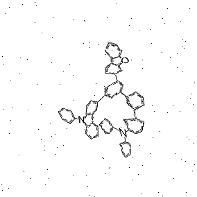 c1ccc(N(c2ccccc2)c2cccc(-c3cccc(-c4cc(-c5ccc6c(c5)oc5ccccc56)cc(-c5ccc6c(c5)c5ccccc5n6-c5ccccc5)c4)c3)c2)cc1